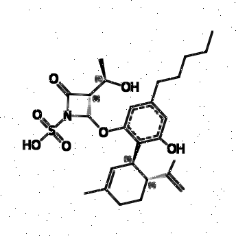 C=C(C)[C@@H]1CCC(C)=C[C@H]1c1c(O)cc(CCCCC)cc1OC1[C@@H]([C@@H](C)O)C(=O)N1S(=O)(=O)O